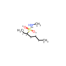 CCCCC(CC)S(=O)(=O)NC